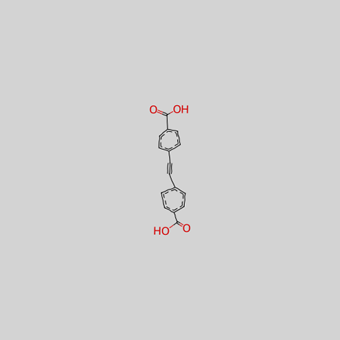 O=C(O)c1ccc(C#Cc2ccc(C(=O)O)cc2)cc1